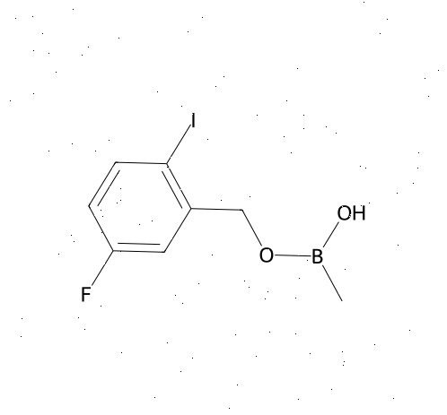 CB(O)OCc1cc(F)ccc1I